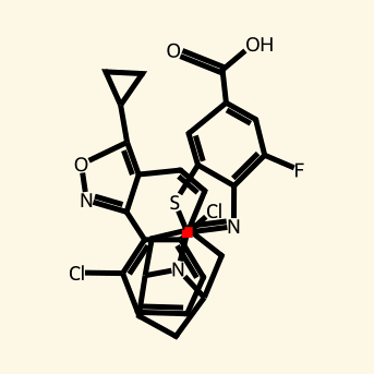 O=C(O)c1cc(F)c2nc(N3C4CCC3CC(/C=C\c3c(-c5c(Cl)cccc5Cl)noc3C3CC3)C4)sc2c1